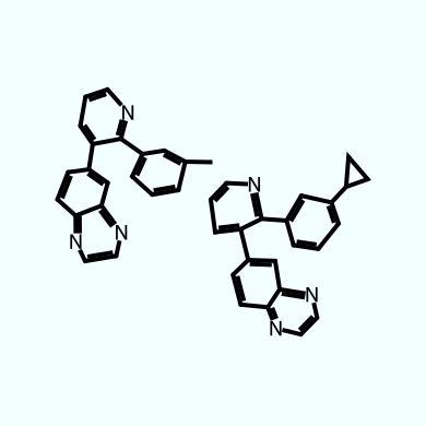 Cc1cccc(-c2ncccc2-c2ccc3nccnc3c2)c1.c1cc(-c2ncccc2-c2ccc3nccnc3c2)cc(C2CC2)c1